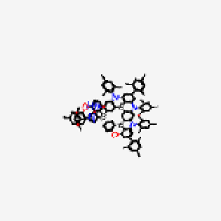 Cc1cc(C)c(-c2cc3c4c(c2)N2c5ccccc5Oc5cccc(c52)B4c2cc4c(cc2N3)N(c2c(C)cc(C)cc2C)c2cc(-c3c(C)cc(C)cc3C)cc3c2B4c2cc4c(cc2N3c2c(C)cc(C)cc2C)N(c2c(C)cc(C)cc2C)c2cc(-c3c(C)cc(C)cc3C)cc3c2B4c2ccccc2O3)c(C)c1